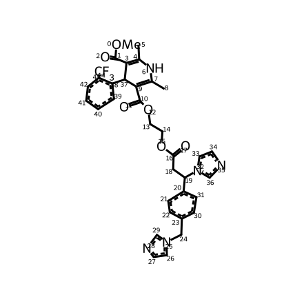 COC(=O)C1=C(C)NC(C)=C(C(=O)OCCOC(=O)CC(c2ccc(Cn3ccnc3)cc2)n2ccnc2)C1c1ccccc1C(F)(F)F